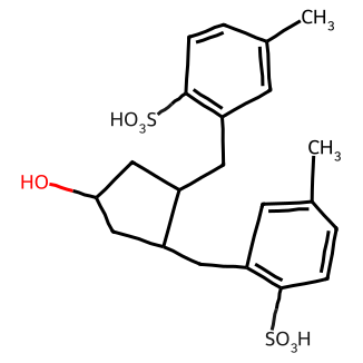 Cc1ccc(S(=O)(=O)O)c(CC2CC(O)CC2Cc2cc(C)ccc2S(=O)(=O)O)c1